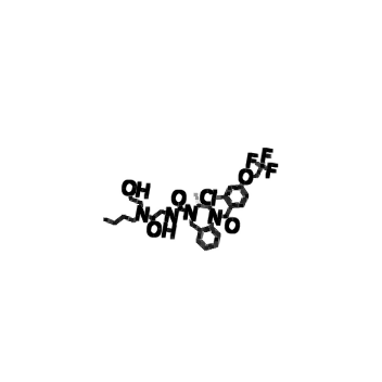 CCCCN(CCO)C(=O)CNC(=O)N1Cc2ccccc2N(C(=O)c2ccc(OCC(F)(F)F)cc2Cl)C[C@H]1C